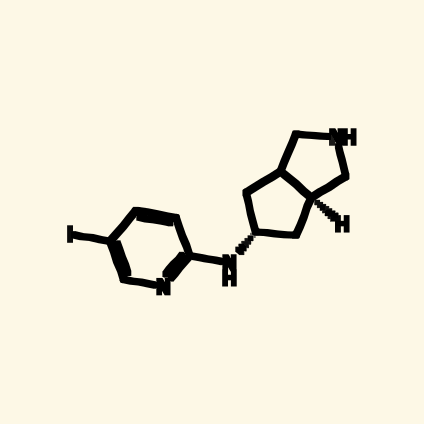 Ic1ccc(N[C@@H]2CC3CNC[C@H]3C2)nc1